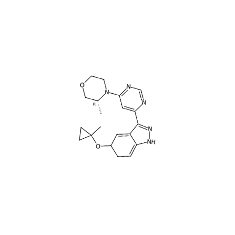 C[C@@H]1COCCN1c1cc(-c2n[nH]c3c2=CC(OC2(C)CC2)CC=3)ncn1